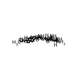 CC(C)CCCCC1CCC2C3CC=C4CC(OC(=O)C(N)CSSCCNC(=O)C(CCCCNC(=N)N)NC(=N)N)CCC4(C)C3CCC12C